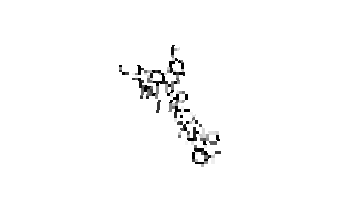 O=C(CN(Cc1ccc(F)cc1)c1ccc([N+](=O)[O-])c2nonc12)NN1CCC(CN2C(=O)c3cccc(F)c3C2=O)CC1